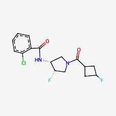 O=C(N[C@@H]1CN(C(=O)C2CC(F)C2)C[C@@H]1F)c1ccccc1Cl